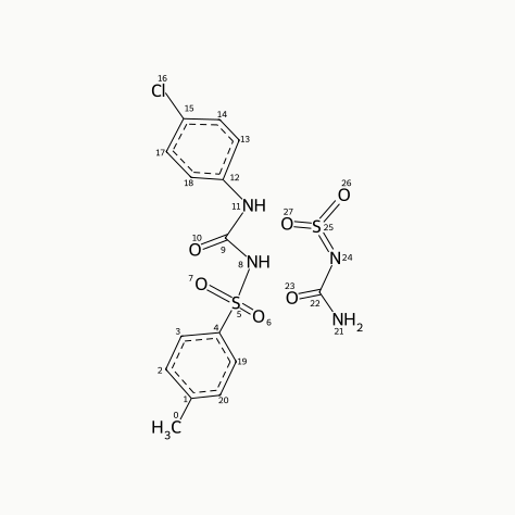 Cc1ccc(S(=O)(=O)NC(=O)Nc2ccc(Cl)cc2)cc1.NC(=O)N=S(=O)=O